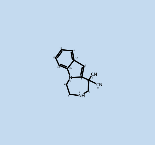 N#CC1(C#N)CNCCn2c1cc1ccccc12